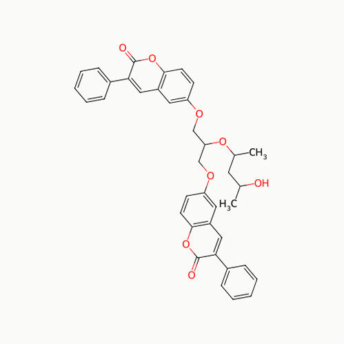 CC(O)CC(C)OC(COc1ccc2oc(=O)c(-c3ccccc3)cc2c1)COc1ccc2oc(=O)c(-c3ccccc3)cc2c1